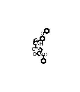 CC(C)CC(NC(=O)c1cccc(Oc2ccccc2)c1)C(=O)N1CCC2C1C(=O)CN2C(=O)c1ccccc1